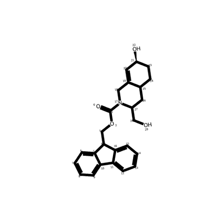 O=C(OCC1c2ccccc2-c2ccccc21)N1CC2=C[C@@H](O)CCC2CC1CO